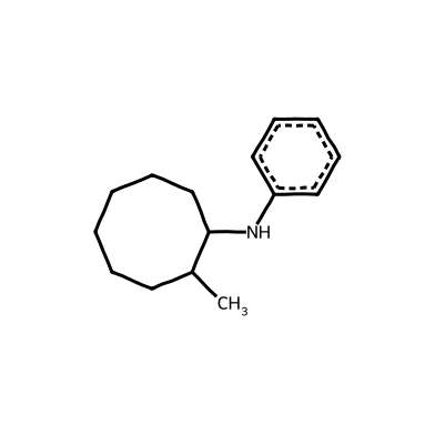 CC1CCCCCCC1Nc1ccccc1